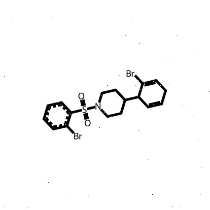 O=S(=O)(c1ccccc1Br)N1CCC(C2C=CCC=C2Br)CC1